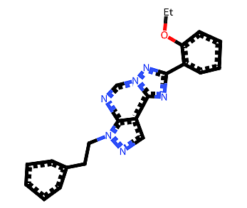 CCOc1ccccc1-c1nc2c3cnn(CCc4ccccc4)c3ncn2n1